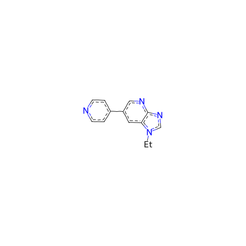 CCn1cnc2ncc(-c3ccncc3)cc21